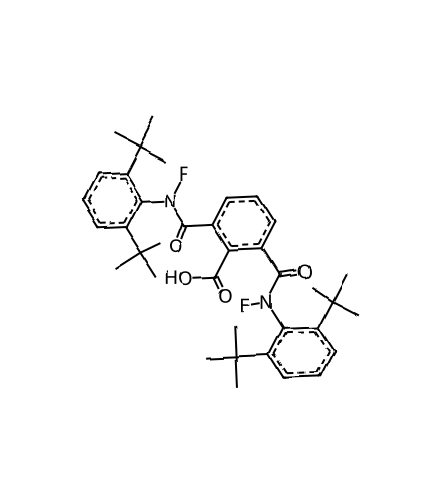 CC(C)(C)c1cccc(C(C)(C)C)c1N(F)C(=O)c1cccc(C(=O)N(F)c2c(C(C)(C)C)cccc2C(C)(C)C)c1C(=O)O